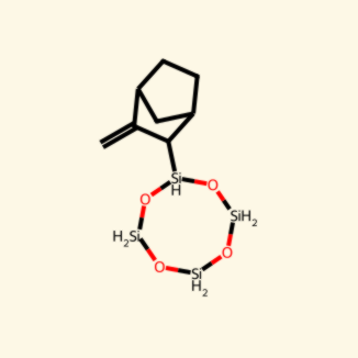 C=C1C2CCC(C2)C1[SiH]1O[SiH2]O[SiH2]O[SiH2]O1